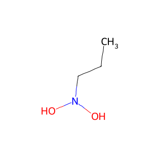 CCCN(O)O